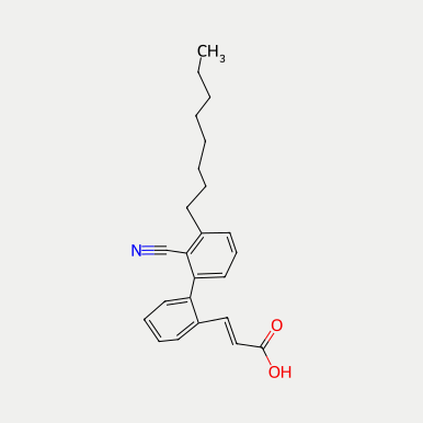 CCCCCCCCc1cccc(-c2ccccc2C=CC(=O)O)c1C#N